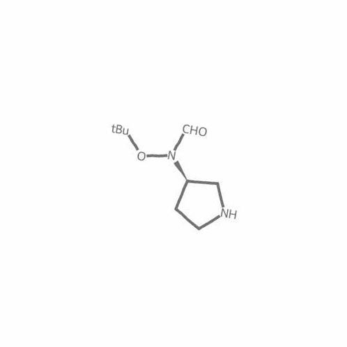 CC(C)(C)ON(C=O)[C@@H]1CCNC1